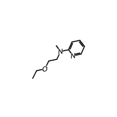 CCOCCN(C)c1ccccn1